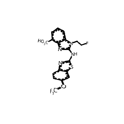 O=C(O)c1cccc2c1nc(Nc1nc3ccc(OC(F)(F)F)cc3s1)n2CCF